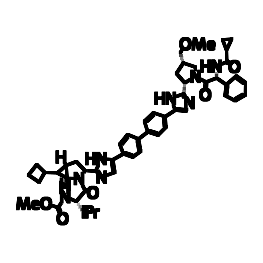 COC[C@H]1C[C@@H](c2ncc(-c3ccc(-c4ccc(-c5cnc([C@@H]6C[C@H]7C(C8CCC8)[C@H]7N6C(=O)[C@@H](NC(=O)OC)C(C)C)[nH]5)cc4)cc3)[nH]2)N(C(=O)[C@H](NC(=O)C2CC2)c2ccccc2)C1